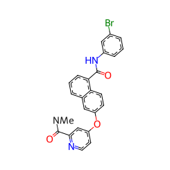 CNC(=O)c1cc(Oc2ccc3c(C(=O)Nc4cccc(Br)c4)cccc3c2)ccn1